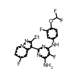 CCc1nn2ccc(F)cc2c1-c1nc(N)c(F)c(Nc2ccc(OC(F)F)c(F)c2)n1